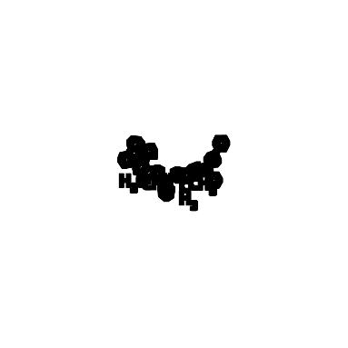 CC1(C)c2cc(N(c3ccccc3)c3ccc(-c4ccccc4)cc3)ccc2-c2ccc(N(c3ccccc3)c3ccc4c(c3)C(C)(C)c3ccc5c(c3-4)-c3ccccc3C53c4ccccc4-c4ccccc43)cc21